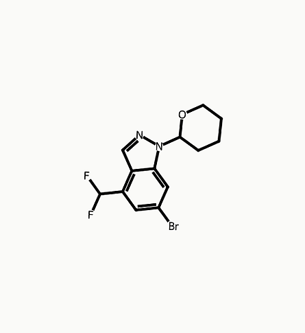 FC(F)c1cc(Br)cc2c1cnn2C1CCCCO1